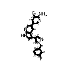 Nc1ncc(-c2cnc3[nH]cc(-c4cnn(Cc5cccc(F)c5)c4)c3c2)cc1F